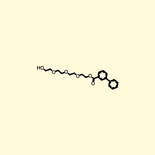 O=C(OCCOCCOCCOCCO)c1cccc(-c2ccccc2)c1